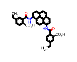 C=Cc1ccc(C(=O)Nc2ccc3ccc4ccc(NC(=O)c5cc(C=C)ccc5C(=O)O)c5ccc2c3c45)c(C(=O)O)c1